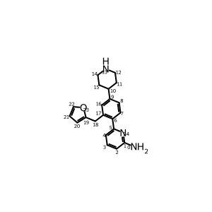 Nc1cccc(-c2ccc(C3CCNCC3)cc2Cc2ccco2)n1